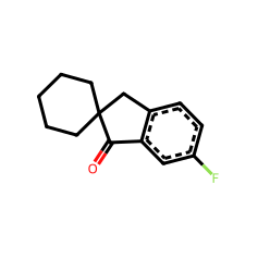 O=C1c2cc(F)ccc2CC12CCCCC2